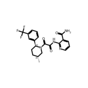 C[C@@H]1CC[C@@H](c2cccc(C(F)(F)F)c2)N(C(=O)C(=O)Nc2ncccc2C(N)=O)C1